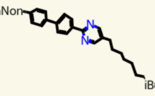 CCCCCCCCCc1ccc(-c2ccc(-c3ncc(CCCCCCC[C@@H](C)CC)cn3)cc2)cc1